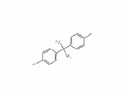 CC(=O)c1ccc(C(c2ccc(F)cc2)(C(F)(F)F)C(F)(F)F)cc1